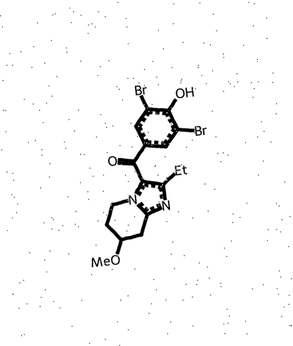 CCc1nc2n(c1C(=O)c1cc(Br)c(O)c(Br)c1)CCC(OC)C2